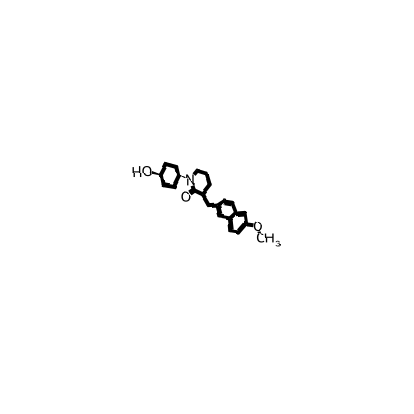 COc1ccc2cc(CC3CCCN([C@H]4CC[C@H](O)CC4)C3=O)ccc2c1